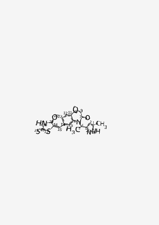 Cc1cc(C(C)N2C(=O)COc3ccc(C=C4SC(=S)NC4=O)cc32)n[nH]1